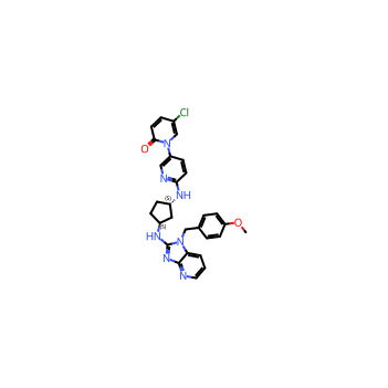 COc1ccc(Cn2c(N[C@H]3CC[C@H](Nc4ccc(-n5cc(Cl)ccc5=O)cn4)C3)nc3ncccc32)cc1